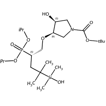 CC(C)OP(=O)(OC(C)C)[C@H](CO[C@@H]1CN(C(=O)OC(C)(C)C)C[C@@H]1O)CC(C)(C)[Si](C)(C)O